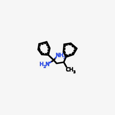 CC(CC(N)(N)c1ccccc1)c1ccccc1